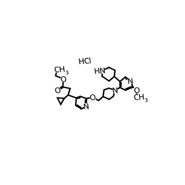 CCOC(=O)CC(c1ccnc(OCC2CCN(c3cc(OC)ncc3C3CCNCC3)CC2)c1)C1CC1.Cl